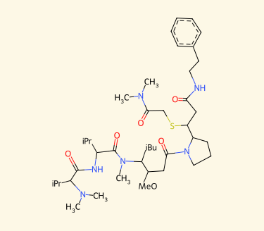 CCC(C)C(C(CC(=O)N1CCCC1C(CC(=O)NCCc1ccccc1)SCC(=O)N(C)C)OC)N(C)C(=O)C(NC(=O)C(C(C)C)N(C)C)C(C)C